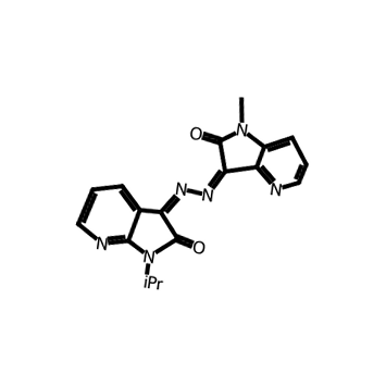 CC(C)N1C(=O)/C(=N\N=C2C(=O)N(C)c3cccnc32)c2cccnc21